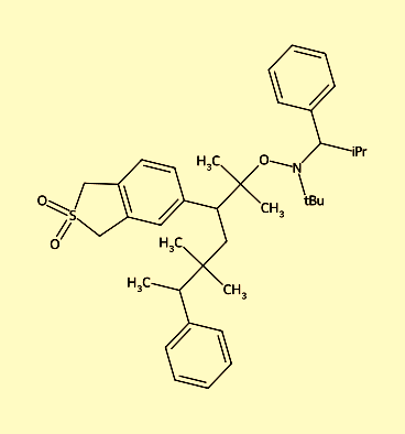 CC(C)C(c1ccccc1)N(OC(C)(C)C(CC(C)(C)C(C)c1ccccc1)c1ccc2c(c1)CS(=O)(=O)C2)C(C)(C)C